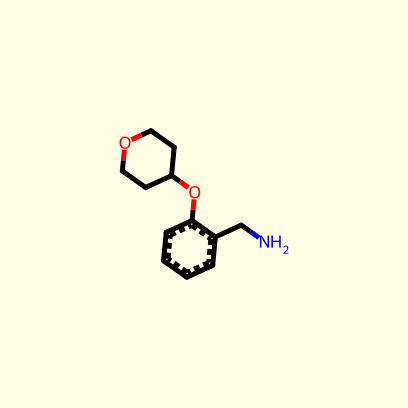 NCc1ccccc1OC1CCOCC1